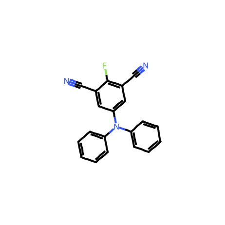 N#Cc1cc(N(c2ccccc2)c2ccccc2)cc(C#N)c1F